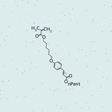 C=C(C)C(=O)OCCCCCCOc1ccc(/C=C/C(=O)OCCCCC)cc1